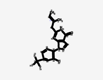 C/C=C(\C)Cc1nc2c(cnn2-c2ncc(C(F)(F)F)cc2Cl)c(=O)[nH]1